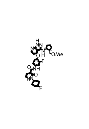 COC[C@@H]1CCC[C@@H]1Nc1n[nH]c2nccc(Oc3ccc(NC(=O)c4ccnn(-c5ccc(F)cc5)c4=O)cc3F)c12